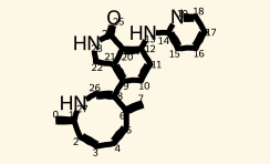 C=c1ccccc(=C)c(-c2ccc(Nc3ccccn3)c3c2CNC3=O)c[nH]1